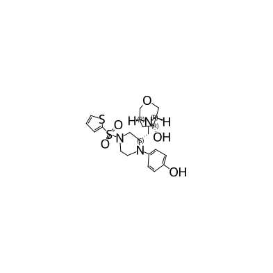 O=S(=O)(c1cccs1)N1CCN(c2ccc(O)cc2)[C@@H](CN2[C@H]3COC[C@@H]2[C@H](O)C3)C1